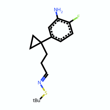 CC(C)(C)SN=CCCC1(c2ccc(F)c(N)c2)CC1